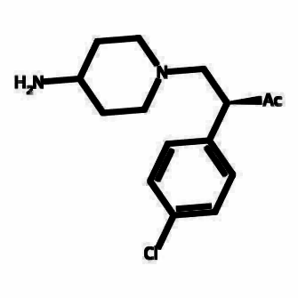 CC(=O)[C@H](CN1CCC(N)CC1)c1ccc(Cl)cc1